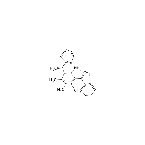 C=C(c1ccccc1)c1c(C)c(C)c(C)c(C(=C)c2ccccc2)c1N